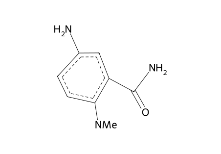 CNc1ccc(N)cc1C(N)=O